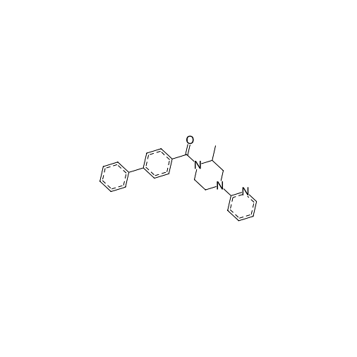 CC1CN(c2ccccn2)CCN1C(=O)c1ccc(-c2ccccc2)cc1